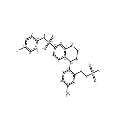 CS(=O)(=O)CCc1cc(C(F)(F)F)ccc1C1CCOc2cc(S(=O)(=O)Nc3ncc(F)cn3)ccc21